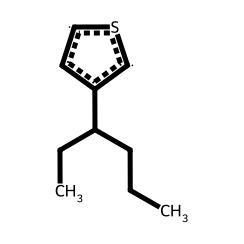 CCCC(CC)c1[c]s[c]c1